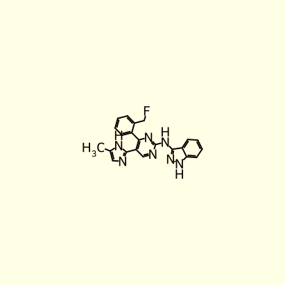 Cc1cnc(-c2cnc(Nc3n[nH]c4ccccc34)nc2-c2ccccc2CF)[nH]1